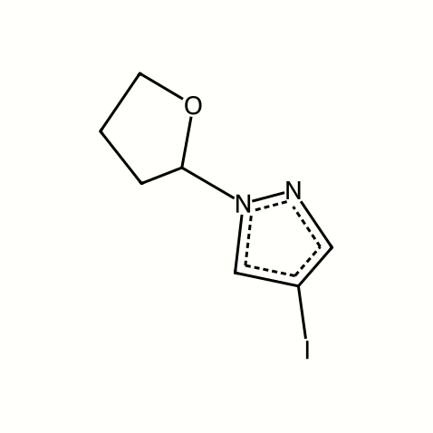 Ic1cnn(C2CCCO2)c1